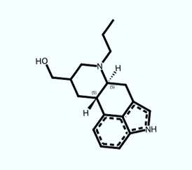 CCCN1CC(CO)C[C@H]2c3cccc4[nH]cc(c34)C[C@@H]21